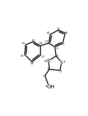 OCC1CSC(c2ccccc2-c2ccccc2)S1